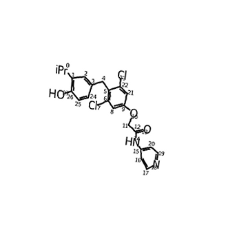 CC(C)c1cc(Cc2c(Cl)cc(OCC(=O)Nc3ccncc3)cc2Cl)ccc1O